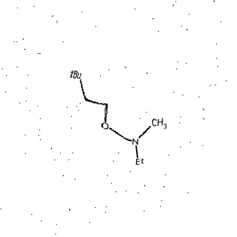 CCN(C)OCCC(C)(C)C